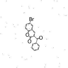 O=C(c1ccccc1)c1cc2cc(Br)ccc2oc1=O